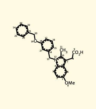 COc1ccc2c(c1)c(CC(=O)O)c(C)n2Cc1cccc(OCc2ccccc2)c1